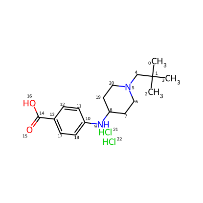 CC(C)(C)CN1CCC(Nc2ccc(C(=O)O)cc2)CC1.Cl.Cl